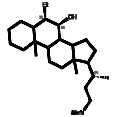 CC[C@@H]1C2CCCCC2(C)C2CCC3(C)C(CCC3[C@H](C)CCNC)C2[C@@H]1O